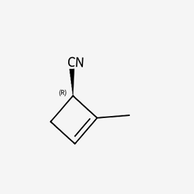 CC1=CC[C@H]1C#N